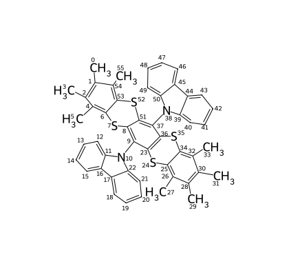 Cc1c(C)c(C)c2sc3c(-n4c5ccccc5c5ccccc54)c4sc5c(C)c(C)c(C)c(C)c5sc4c(-n4c5ccccc5c5ccccc54)c3sc2c1C